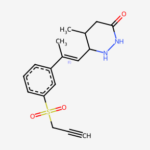 C#CCS(=O)(=O)c1cccc(/C(C)=C/C2NNC(=O)CC2C)c1